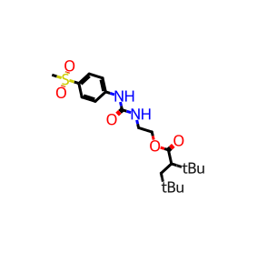 CC(C)(C)CC(C(=O)OCCNC(=O)Nc1ccc(S(C)(=O)=O)cc1)C(C)(C)C